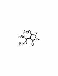 CCCCC(OCC)=C1C(=O)N(C)N(C)C1OC(C)=O